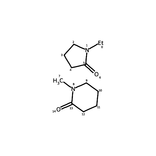 CCN1CCCC1=O.CN1CCCCC1=O